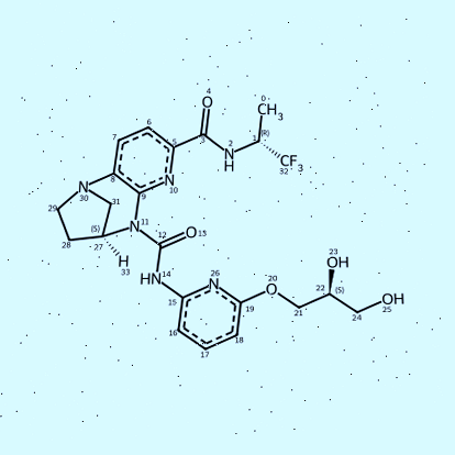 C[C@@H](NC(=O)c1ccc2c(n1)N(C(=O)Nc1cccc(OC[C@@H](O)CO)n1)[C@H]1CCN2C1)C(F)(F)F